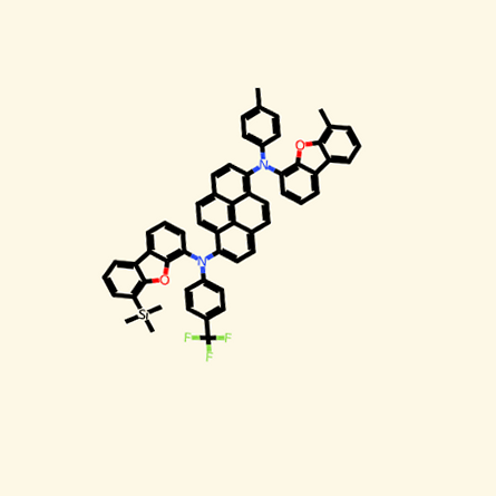 Cc1ccc(N(c2ccc3ccc4c(N(c5ccc(C(F)(F)F)cc5)c5cccc6c5oc5c([Si](C)(C)C)cccc56)ccc5ccc2c3c54)c2cccc3c2oc2c(C)cccc23)cc1